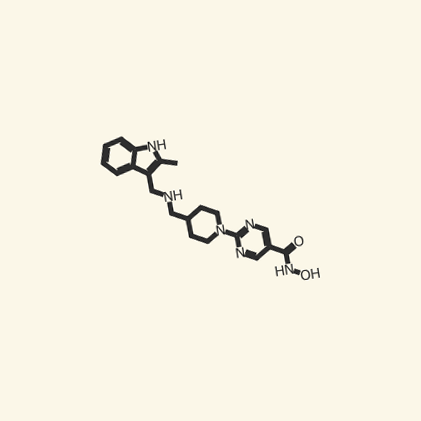 Cc1[nH]c2ccccc2c1CNCC1CCN(c2ncc(C(=O)NO)cn2)CC1